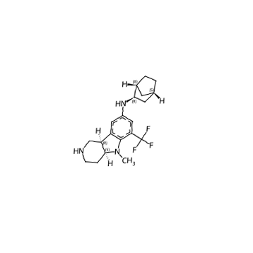 CN1c2c(cc(N[C@@H]3C[C@H]4CC[C@@H]3C4)cc2C(F)(F)F)[C@@H]2CNCC[C@@H]21